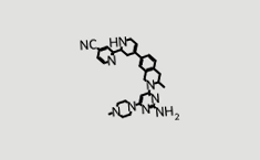 CC1Cc2ccc(C3=CCNC(c4cc(C#N)ccn4)C3)cc2CN1c1cc(N2CCN(C)CC2)nc(N)n1